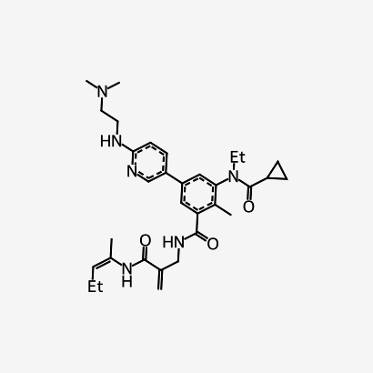 C=C(CNC(=O)c1cc(-c2ccc(NCCN(C)C)nc2)cc(N(CC)C(=O)C2CC2)c1C)C(=O)N/C(C)=C\CC